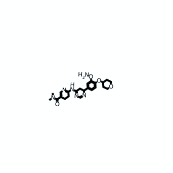 CN(C)C(=O)C1=CN=C(NC2=NC=NC(c3ccc(OC4CCOCC4)c(ON)c3)C2)CC1